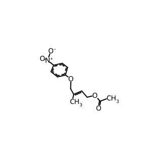 CC(=O)OCC=C(C)COc1ccc([N+](=O)[O-])cc1